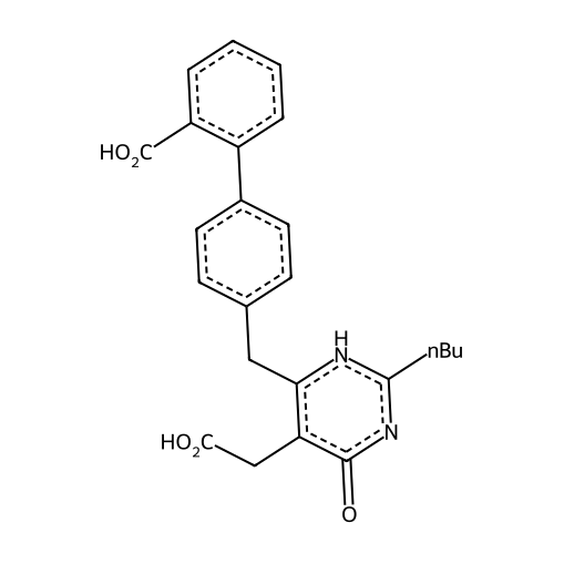 CCCCc1nc(=O)c(CC(=O)O)c(Cc2ccc(-c3ccccc3C(=O)O)cc2)[nH]1